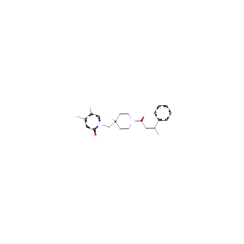 CC(CC(=O)N1CCC(O)(Cn2cc(Br)c(Cl)cc2=O)CC1)c1ccccc1